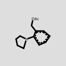 CC(=O)OCc1ccccc1N1CCCC1